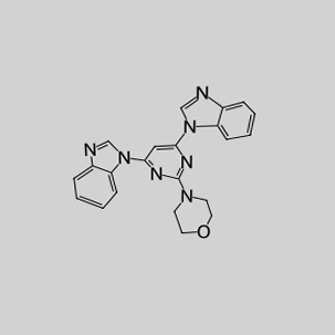 c1ccc2c(c1)ncn2-c1cc(-n2cnc3ccccc32)nc(N2CCOCC2)n1